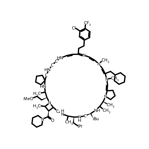 CC[C@H](C)[C@H]1CN[C@@H](CC(C)C)C(C)NCC2[C@@H](C(=O)N3CCCCC3)C(C)N2[C@@H](CCOC)C(C)NC2(CCCC2)CNCCNC=CC(CCc2ccc(C(F)(F)F)c(Cl)c2)=NC=CN(C)C=C(CC2CCCCC2)N(C)C=C2CCCN2[C@@H](C)C(C)N1